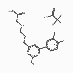 CNC(=O)CNCCCc1cc(-c2ccc(C)c(C)c2)nc(C#N)n1.O=C(O)C(F)(F)F